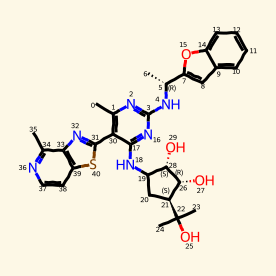 Cc1nc(N[C@H](C)c2cc3ccccc3o2)nc(NC2C[C@H](C(C)(C)O)[C@@H](O)[C@H]2O)c1-c1nc2c(C)nccc2s1